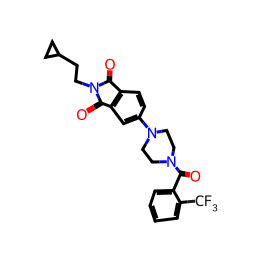 O=C(c1ccccc1C(F)(F)F)N1CCN(c2ccc3c(c2)C(=O)N(CCC2CC2)C3=O)CC1